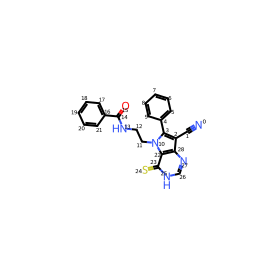 N#Cc1c(-c2ccccc2)n(CCNC(=O)c2ccccc2)c2c(=S)[nH]cnc12